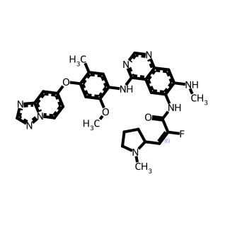 CNc1cc2ncnc(Nc3cc(C)c(Oc4ccn5ncnc5c4)cc3OC)c2cc1NC(=O)/C(F)=C\C1CCCN1C